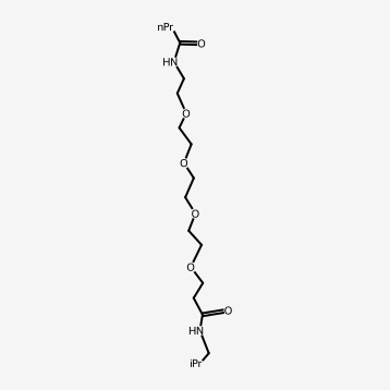 CCCC(=O)NCCOCCOCCOCCOCCC(=O)NCC(C)C